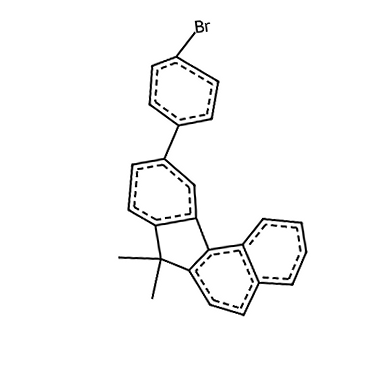 CC1(C)c2ccc(-c3ccc(Br)cc3)cc2-c2c1ccc1ccccc21